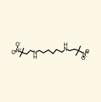 CC(C)(CCNCCCCCCNCCC(C)(C)[N+](=O)[O-])[N+](=O)[O-]